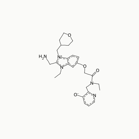 CCN(Cc1ncccc1[O-])C(=O)COc1ccc2c(c1)n(CC)c(CN)[n+]2CC1CCOCC1